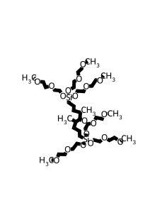 COCCOCCO[Si](CCCC(C)C(=O)C(C)CCC[Si](OCCOCCOC)(OCCOCCOC)OCCOCCOC)(OCCOCCOC)OCCOCCOC